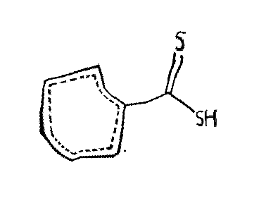 S=C(S)c1[c]cccc1